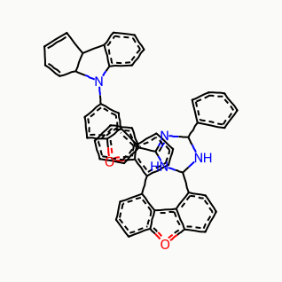 C1=CC2c3ccccc3N(c3ccc4oc5c(-c6cccc7oc8cccc(C9NC(c%10ccccc%10)=NC(c%10ccccc%10)N9)c8c67)cccc5c4c3)C2C=C1